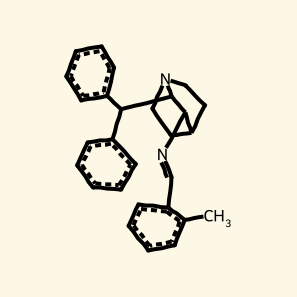 Cc1ccccc1C=NC1C2CCN(CC2)C1C(c1ccccc1)c1ccccc1